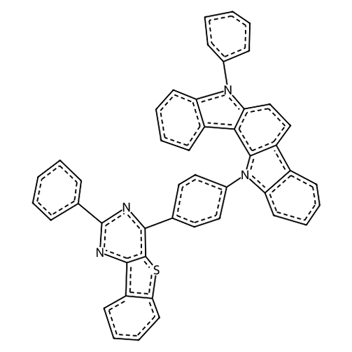 c1ccc(-c2nc(-c3ccc(-n4c5ccccc5c5ccc6c(c7ccccc7n6-c6ccccc6)c54)cc3)c3sc4ccccc4c3n2)cc1